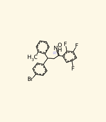 Cc1ccccc1C(C/C(=N/O)c1cc(F)cc(F)c1F)c1ccc(Br)cc1